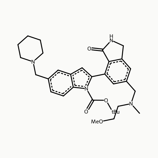 COCCN(C)Cc1cc2c(c(-c3cc4cc(CN5CCCCC5)ccc4n3C(=O)OC(C)(C)C)c1)C(=O)NC2